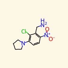 NCc1c([N+](=O)[O-])ccc(N2CCCC2)c1Cl